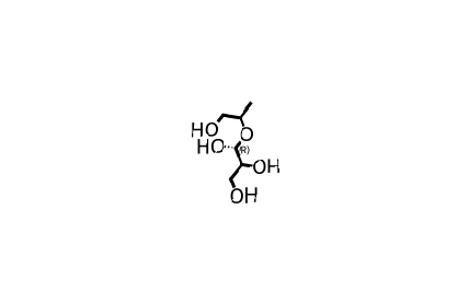 CC(CO)O[C@@H](O)C(O)CO